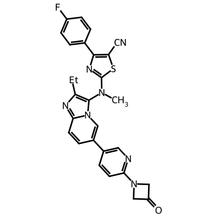 CCc1nc2ccc(-c3ccc(N4CC(=O)C4)nc3)cn2c1N(C)c1nc(-c2ccc(F)cc2)c(C#N)s1